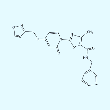 Cc1nc(-n2ccc(OCc3ncon3)cc2=O)sc1C(=O)NCc1ccccc1